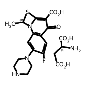 C[C@H]1Sc2c(C(=O)O)c(=O)c3cc(F)c(N4CCNCC4)cc3n21.N[C@@H](CC(=O)O)C(=O)O